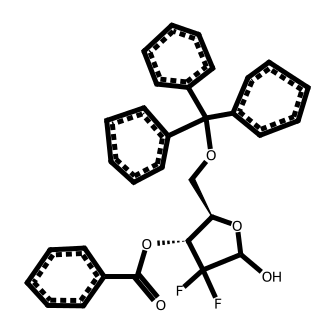 O=C(O[C@@H]1[C@@H](COC(c2ccccc2)(c2ccccc2)c2ccccc2)OC(O)C1(F)F)c1ccccc1